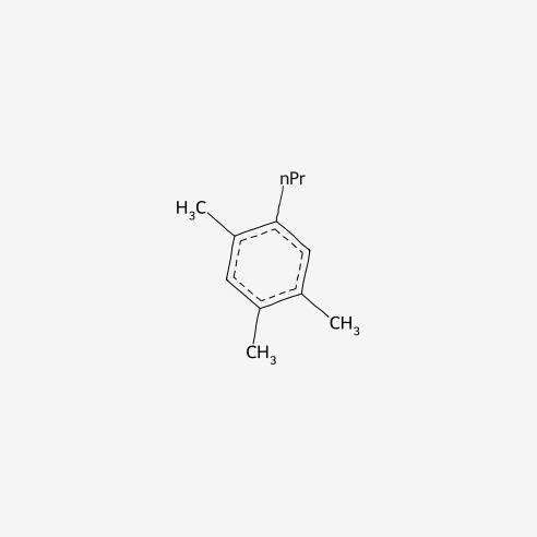 C[CH]Cc1cc(C)c(C)cc1C